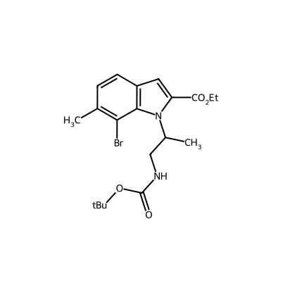 CCOC(=O)c1cc2ccc(C)c(Br)c2n1C(C)CNC(=O)OC(C)(C)C